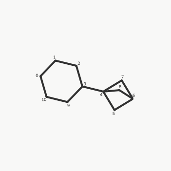 C1CCC(C23CC(C2)C3)CC1